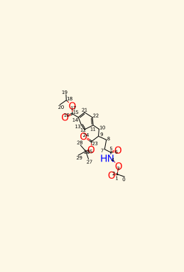 CC(=O)ONC(=O)CCC(Cc1ccc(C(=O)OC(C)C)cc1)C(=O)OC(C)(C)C